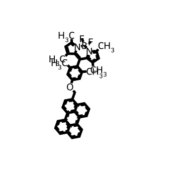 CC1=CC(C)=[N+]2C1=C(c1c(C)cc(OCc3ccc4c5cccc6cccc(c7cccc3c74)c65)cc1C)c1c(C)cc(C)n1[B-]2(F)F